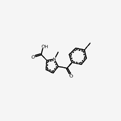 Cc1ccc(C(=O)c2ccc(C(=O)O)n2C)cc1